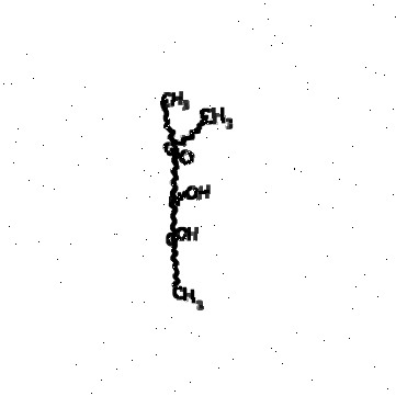 CCCCCCCCCCCOC(O)CCCCCN(CCO)CCCCCCCC(=O)OC(CCCCCCCC)CCCCCCCC